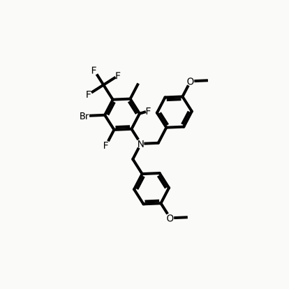 COc1ccc(CN(Cc2ccc(OC)cc2)c2c(F)c(C)c(C(F)(F)F)c(Br)c2F)cc1